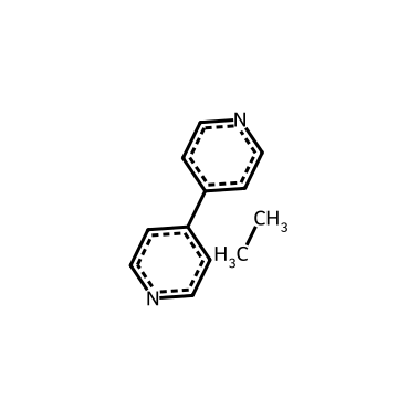 CC.c1cc(-c2ccncc2)ccn1